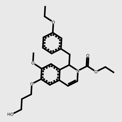 CCOC(=O)N1C=Cc2cc(OCCCO)c(OC)cc2C1Cc1cccc(OCC)c1